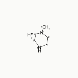 CN1CCNCC1.F